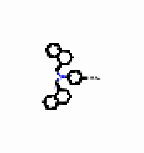 COc1ccc(N(/C=C2\CCCc3ccccc32)/C=C2\CCCc3ccccc32)cc1